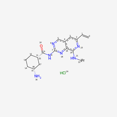 C=Cc1cc2cnc(NC(=O)[C@H]3CCC[C@@H](N)C3)nc2c(NC(C)C)n1.Cl